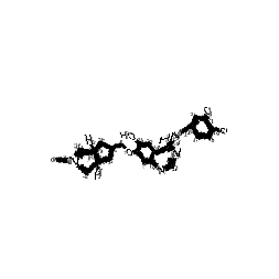 CN1C[C@H]2CC(COc3cc4ncnc(Nc5ccc(Cl)c(Cl)c5)c4cc3O)C[C@H]2C1